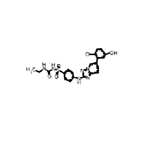 CCNC(=O)NS(=O)(=O)c1ccc(Nc2nc3ccc(-c4cc(O)ccc4Cl)cn3n2)cc1